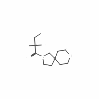 CCC(F)(F)C(=O)N1CCC2(CCNCC2)C1